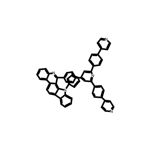 c1ccc(-n2c3ccccc3c3ccc4c5ccccc5nc(-c5ccc(-c6cc(-c7ccc(-c8ccncc8)cc7)nc(-c7ccc(-c8ccncc8)cc7)c6)cc5)c4c32)cc1